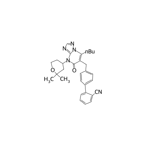 CCCCc1c(Cc2ccc(-c3ccccc3C#N)cc2)c(=O)n(C2CCOC(C)(C)C2)c2ncnn12